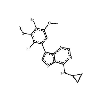 COc1cc(-c2csc3c(NC4CC4)ncnc23)c(Cl)c(OC)c1Br